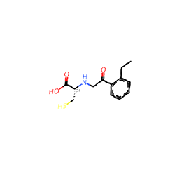 CCc1ccccc1C(=O)CN[C@H](CS)C(=O)O